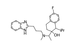 CC(C)C1c2ccc(F)cc2CCC1(O)C(C)N(C)CCCc1nc2ccccc2[nH]1